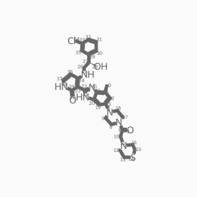 Cc1cc(N2CCN(C(=O)CN3CCSCC3)CC2)cc2[nH]c(-c3c(NC[C@@H](O)c4cccc(Cl)c4)cc[nH]c3=O)nc12